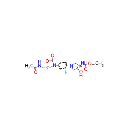 CCOC(=O)N[C@H]1CN(c2ccc(N3C[C@H](CNC(C)=O)OC3=O)cc2F)C[C@@H]1O